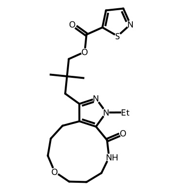 CCn1nc(CC(C)(C)COC(=O)c2ccns2)c2c1C(=O)NCCCOCCC2